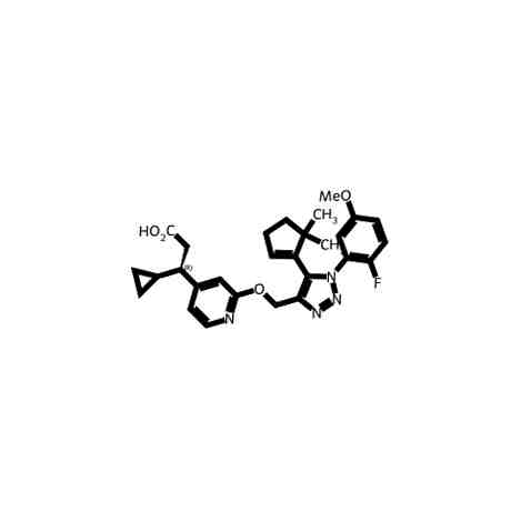 COc1ccc(F)c(-n2nnc(COc3cc([C@H](CC(=O)O)C4CC4)ccn3)c2C2=CCCC2(C)C)c1